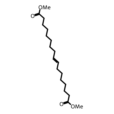 COC(=O)CCCCCCC=CCCCCCCCC(=O)OC